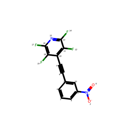 O=[N+]([O-])c1cccc(C#Cc2c(F)c(F)nc(F)c2F)c1